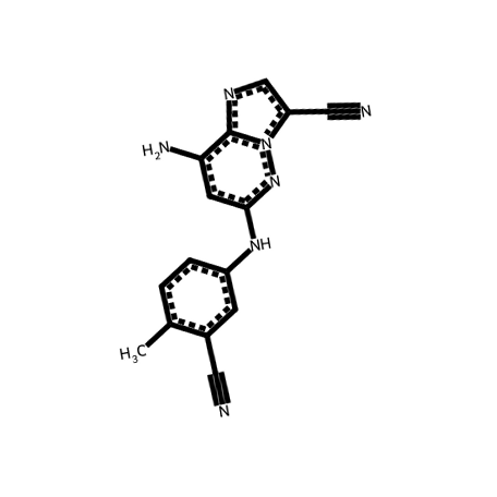 Cc1ccc(Nc2cc(N)c3ncc(C#N)n3n2)cc1C#N